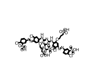 O=S(=O)(O)CCCOc1cc(N=Nc2ccc(Cl)c(S(=O)(=O)O)c2)c(Cl)cc1Nc1nc(NCS(=O)(=O)O)nc(Nc2cc(Cl)c(N=Nc3ccc(Cl)c(S(=O)(=O)O)c3)cc2OCCCS(=O)(=O)O)n1